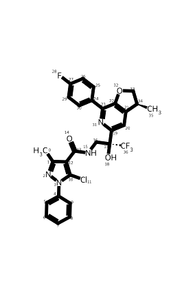 Cc1nn(-c2ccccc2)c(Cl)c1C(=O)NC[C@](O)(c1cc2c(c(-c3ccc(F)cc3)n1)OC[C@H]2C)C(F)(F)F